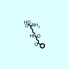 N[C@@H](CCCCNC(=O)CCC(=O)c1ccccc1)C(=O)O